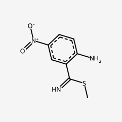 CSC(=N)c1cc([N+](=O)[O-])ccc1N